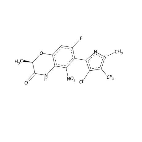 C[C@H]1Oc2cc(F)c(-c3nn(C)c(C(F)(F)F)c3Cl)c([N+](=O)[O-])c2NC1=O